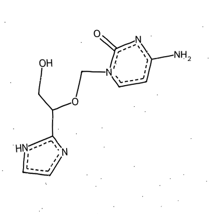 Nc1ccn(COC(CO)c2ncc[nH]2)c(=O)n1